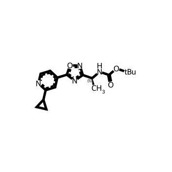 C[C@H](NC(=O)OC(C)(C)C)c1noc(-c2ccnc(C3CC3)c2)n1